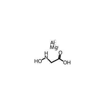 O=C(O)CNO.[Al].[Mg]